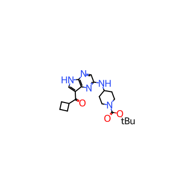 CC(C)(C)OC(=O)N1CCC(Nc2cnc3[nH]cc(C(=O)C4CCC4)c3n2)CC1